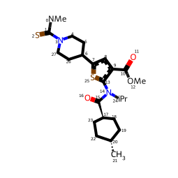 CNC(=S)N1CCC(c2cc(C(=O)OC)c(N(C(=O)[C@H]3CC[C@H](C)CC3)C(C)C)s2)CC1